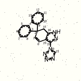 C1=CC(c2ccccc2)(c2ccccc2)Cc2[nH]nc(-n3cnnn3)c21